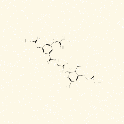 CCC1C(CCC(=O)O)=CC(Cl)=CC1(Cl)NC(=O)CNC(=O)c1cc(NC(=N)N)cc(NC(=N)N)c1